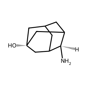 N[C@H]1C2CC3CC1C[C@](O)(C3)C2